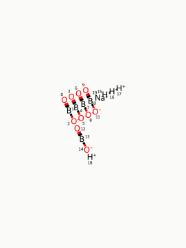 O=B[O-].O=B[O-].O=B[O-].O=B[O-].O=B[O-].[H+].[H+].[H+].[H+].[Na+]